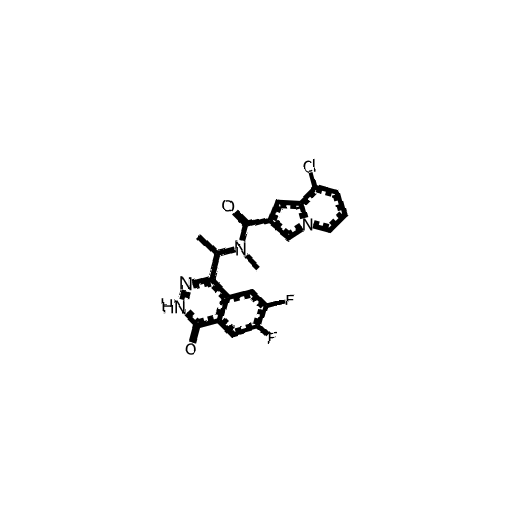 CC(c1n[nH]c(=O)c2cc(F)c(F)cc12)N(C)C(=O)c1cc2c(Cl)cccn2c1